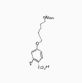 CCCCCCCCCCCCCCOc1ccc(C(=O)O)c(F)c1